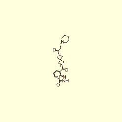 O=C(CCN1CCCCC1)N1CC2(C1)CN(C(=O)c1cccn3c(=O)[nH]nc13)C2